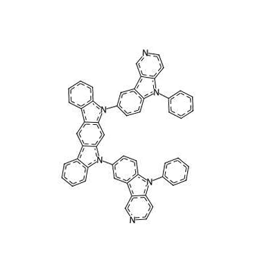 c1ccc(-n2c3ccncc3c3cc(-n4c5ccccc5c5cc6c7ccccc7n(-c7ccc8c(c7)c7cnccc7n8-c7ccccc7)c6cc54)ccc32)cc1